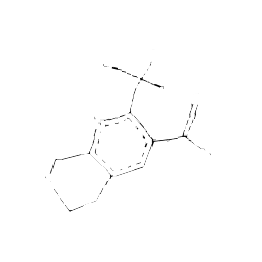 NC(=O)c1cc2c(nc1C(F)(F)F)CNCC2